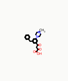 CN1CCN(c2cc(Cc3ccccc3)cc(C(=O)CC(=O)C(=O)O)c2)CC1